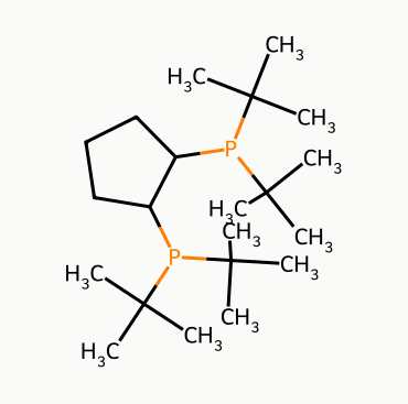 CC(C)(C)P(C1CCCC1P(C(C)(C)C)C(C)(C)C)C(C)(C)C